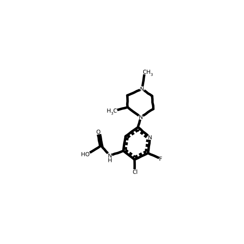 CC1CN(C)CCN1c1cc(NC(=O)O)c(Cl)c(F)n1